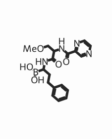 COCC(NC(=O)c1cnccn1)C(=O)NC(CCc1ccccc1)B(O)O